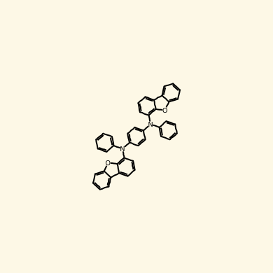 c1ccc(N(c2ccc(N(c3ccccc3)c3cccc4c3oc3ccccc34)cc2)c2cccc3c2oc2ccccc23)cc1